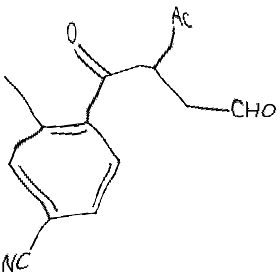 CC(=O)C(CC=O)C(=O)c1ccc(C#N)cc1C